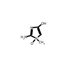 C[N+]1([O-])C=C(O)N=C1N